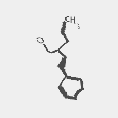 CCCC(C=Cc1ccccc1)C[O]